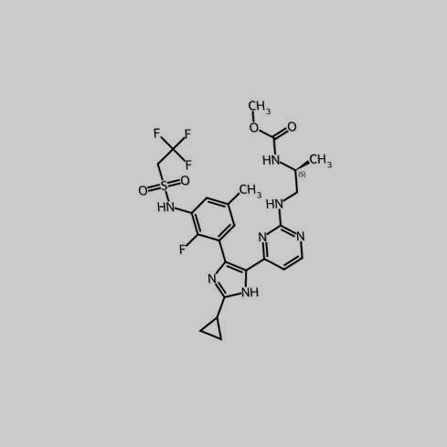 COC(=O)N[C@@H](C)CNc1nccc(-c2[nH]c(C3CC3)nc2-c2cc(C)cc(NS(=O)(=O)CC(F)(F)F)c2F)n1